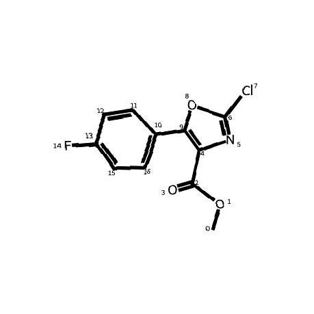 COC(=O)c1nc(Cl)oc1-c1ccc(F)cc1